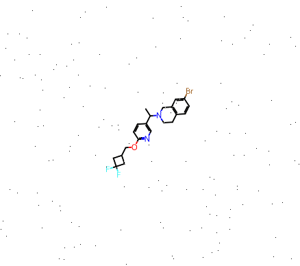 CC(c1ccc(OCC2CC(F)(F)C2)nc1)N1CCc2ccc(Br)cc2C1